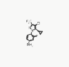 Nc1ccc(-n2nc(C(F)(F)F)c(Cl)c2C2CC2)c(F)c1